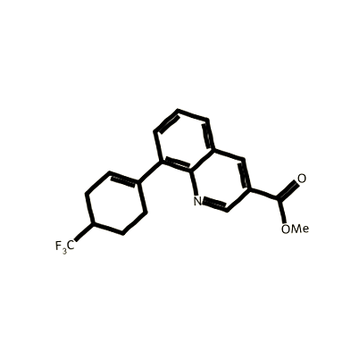 COC(=O)c1cnc2c(C3=CCC(C(F)(F)F)CC3)cccc2c1